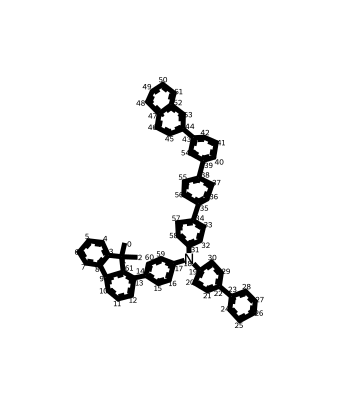 CC1(C)c2ccccc2-c2cccc(-c3ccc(N(c4ccc(-c5ccccc5)cc4)c4ccc(-c5ccc(-c6cccc(-c7ccc8ccccc8c7)c6)cc5)cc4)cc3)c21